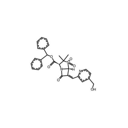 CC1(C)[C@H](C(=O)OC(c2ccccc2)c2ccccc2)N2C(=O)/C(=C/c3cc(CO)ccn3)[C@H]2S1(=O)=O